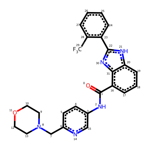 O=C(Nc1ccc(CN2CCOCC2)nc1)c1cccc2[nH]c(-c3ccccc3C(F)(F)F)nc12